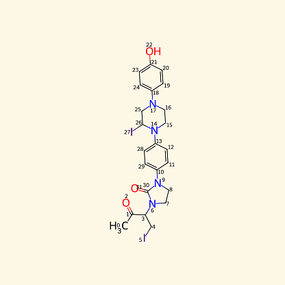 CC(=O)C(CI)N1CCN(c2ccc(N3CCN(c4ccc(O)cc4)CC3I)cc2)C1=O